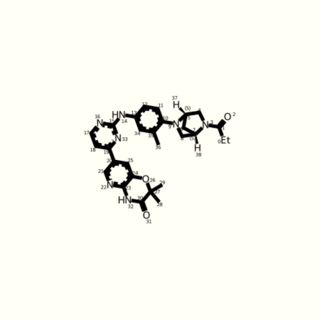 CCC(=O)N1C[C@@H]2C[C@H]1CN2c1ccc(Nc2nccc(-c3cnc4c(c3)OC(C)(C)C(=O)N4)n2)cc1C